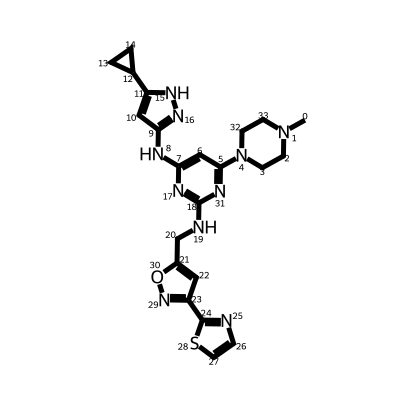 CN1CCN(c2cc(Nc3cc(C4CC4)[nH]n3)nc(NCc3cc(-c4nccs4)no3)n2)CC1